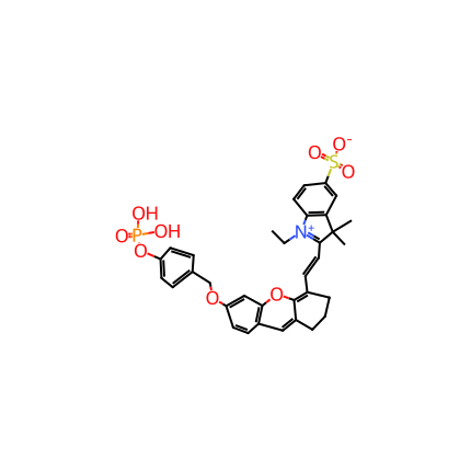 CC[N+]1=C(C=CC2=C3Oc4cc(OCc5ccc(OP(=O)(O)O)cc5)ccc4C=C3CCC2)C(C)(C)c2cc(S(=O)(=O)[O-])ccc21